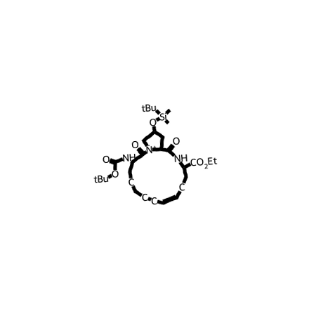 CCOC(=O)C1CCC=CCCCCCC(NC(=O)OC(C)(C)C)C(=O)[N+]2CC(O[Si](C)(C)C(C)(C)C)CC2C(=O)N1